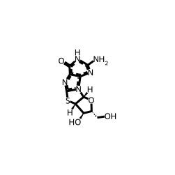 Nc1nc2c(nc3n2[C@@H]2O[C@H](CO)[C@@H](O)[C@@H]2S3)c(=O)[nH]1